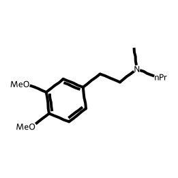 [CH2]CCN(C)CCc1ccc(OC)c(OC)c1